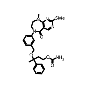 CSc1ncc2c(n1)N(C)CCN(c1cccc(COC(C)(CCOC(N)=O)c3ccccc3)c1)C2=O